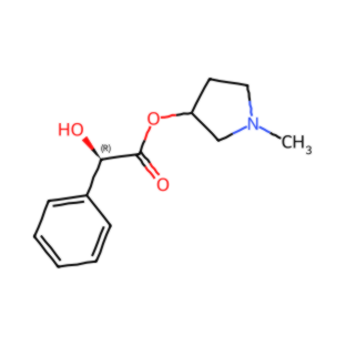 CN1CCC(OC(=O)[C@H](O)c2ccccc2)C1